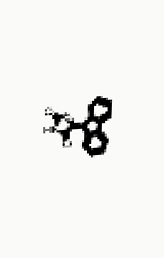 O=C1NC(=O)C(=C2c3ccccc3-c3ccccc32)S1